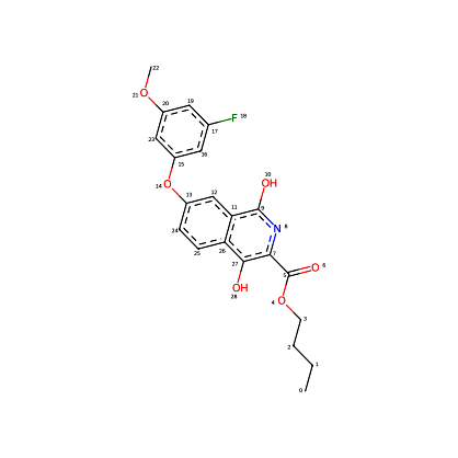 CCCCOC(=O)c1nc(O)c2cc(Oc3cc(F)cc(OC)c3)ccc2c1O